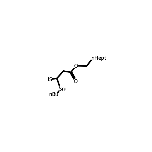 CCCCCCCCOC(=O)C[CH](S)[Sn][CH2]CCC